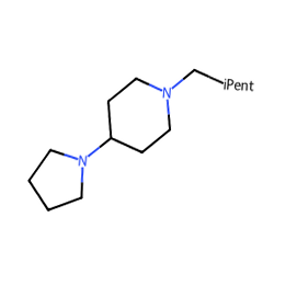 CCCC(C)CN1CCC(N2CCCC2)CC1